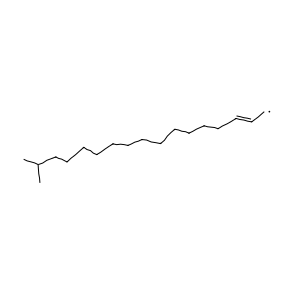 [CH2]/C=C/CCCCCCCCCCCCC(C)C